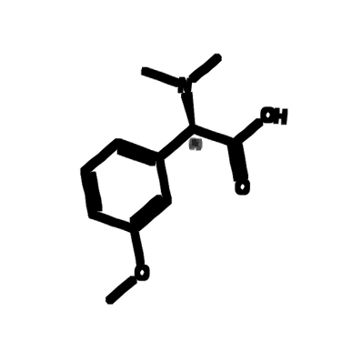 COc1cccc([C@H](C(=O)O)N(C)C)c1